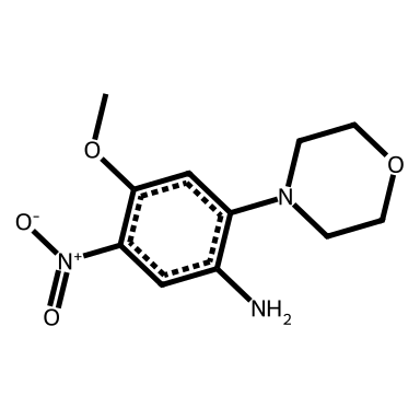 COc1cc(N2CCOCC2)c(N)cc1[N+](=O)[O-]